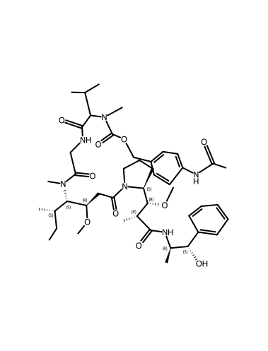 CC[C@H](C)[C@@H]([C@@H](CC(=O)N1CCC[C@H]1[C@H](OC)[C@@H](C)C(=O)N[C@H](C)[C@@H](O)c1ccccc1)OC)N(C)C(=O)CNC(=O)C(C(C)C)N(C)C(=O)OCc1ccc(NC(C)=O)cc1